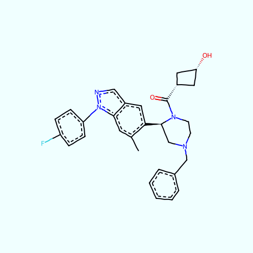 Cc1cc2c(cnn2-c2ccc(F)cc2)cc1[C@@H]1CN(Cc2ccccc2)CCN1C(=O)[C@H]1C[C@@H](O)C1